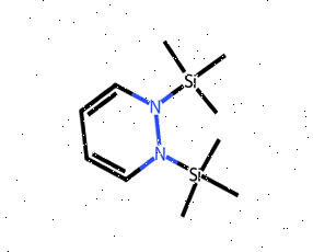 C[Si](C)(C)N1C=CC=CN1[Si](C)(C)C